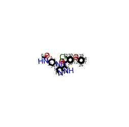 CC(=O)NC1CCC(Nc2ccnc3[nH]cc(C(=O)c4ccc(Oc5ccccc5)cc4Cl)c23)CC1